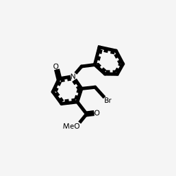 COC(=O)c1ccc(=O)n(Cc2ccccc2)c1CBr